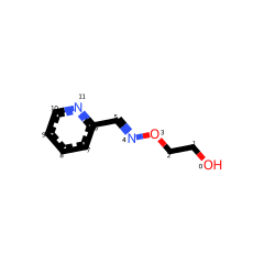 OCCON=Cc1ccccn1